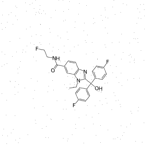 CCn1c(C(O)(c2ccc(F)cc2)c2ccc(F)cc2)nc2ccc(C(=O)NCCF)cc21